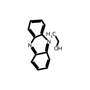 CCO.c1ccc2nc3ccccc3nc2c1